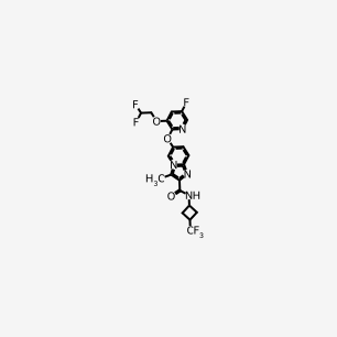 Cc1c(C(=O)NC2CC(C(F)(F)F)C2)nc2ccc(Oc3ncc(F)cc3OCC(F)F)cn12